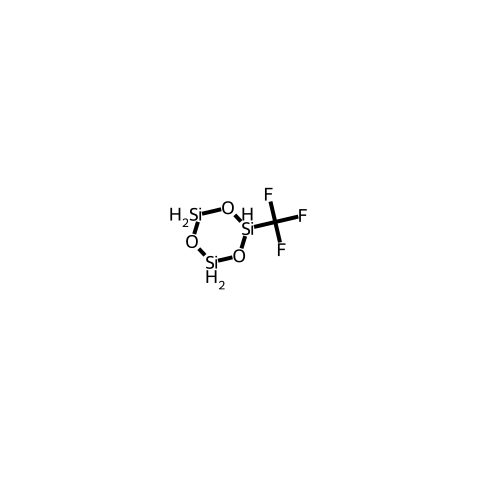 FC(F)(F)[SiH]1O[SiH2]O[SiH2]O1